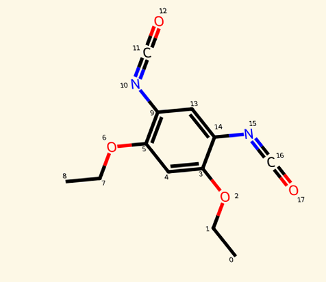 CCOc1cc(OCC)c(N=C=O)cc1N=C=O